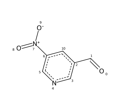 O=[C]c1cncc([N+](=O)[O-])c1